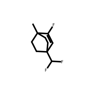 CC12CCC(C(F)F)(C=C1F)CC2